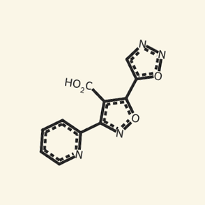 O=C(O)c1c(-c2ccccn2)noc1-c1cnno1